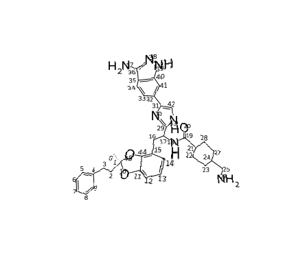 C[C@@]1(CCc2ccccc2)Oc2cccc(CC(NC(=O)C3CCC(CN)CC3)c3nc(-c4ccc5c(N)n[nH]c5c4)c[nH]3)c2O1